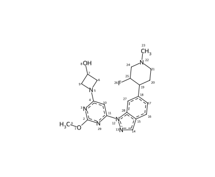 COc1nc(N2CC(O)C2)cc(-n2ncc3ccc(C4CCN(C)CC4F)cc32)n1